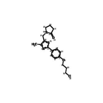 Cc1nc(-c2ccc(OCCCCl)cc2)sc1CN1CCCC1=O